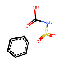 O=C(O)N[SH](=O)=O.c1ccccc1